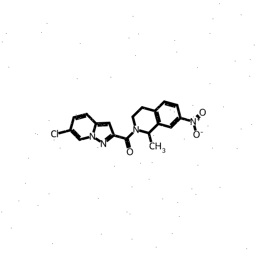 CC1c2cc([N+](=O)[O-])ccc2CCN1C(=O)c1cc2ccc(Cl)cn2n1